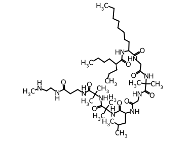 CCCCCCCCC(NC(=O)[C@@H](CCC)CCCC)C(=O)NCC(=O)NC(C)(C)C(=O)NCC(=O)NC(CC(C)C)C(=O)NC(C)(C)C(=O)NC(C)(C)C(=O)NCCC(=O)NCCNC